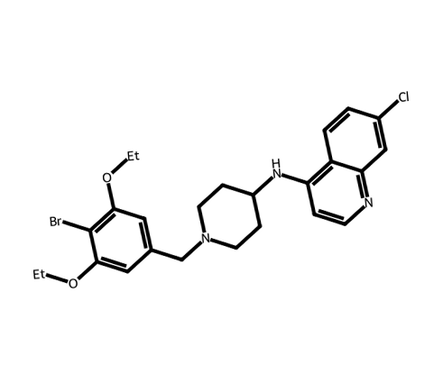 CCOc1cc(CN2CCC(Nc3ccnc4cc(Cl)ccc34)CC2)cc(OCC)c1Br